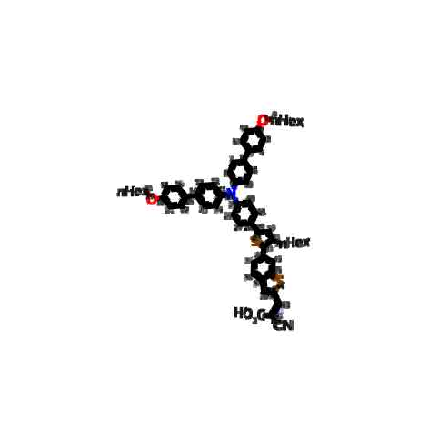 CCCCCCOc1ccc(-c2ccc(N(c3ccc(-c4ccc(OCCCCCC)cc4)cc3)c3ccc(-c4cc(CCCCCC)c(-c5ccc6cc(/C=C(/C#N)C(=O)O)sc6c5)s4)cc3)cc2)cc1